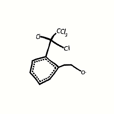 [O]Cc1ccccc1C(Cl)(Cl)C(Cl)(Cl)Cl